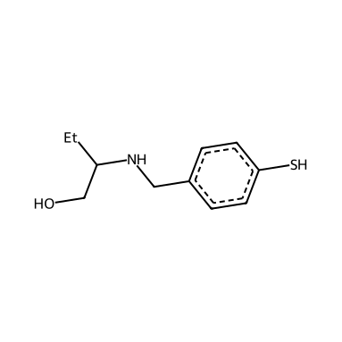 CCC(CO)NCc1ccc(S)cc1